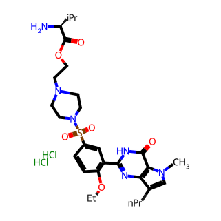 CCCc1cn(C)c2c(=O)[nH]c(-c3cc(S(=O)(=O)N4CCN(CCOC(=O)[C@@H](N)C(C)C)CC4)ccc3OCC)nc12.Cl.Cl